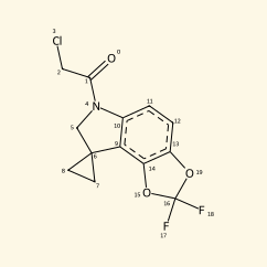 O=C(CCl)N1CC2(CC2)c2c1ccc1c2OC(F)(F)O1